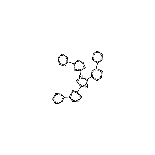 c1ccc(-c2cccc(-c3cn(-c4cccc(-c5ccccc5)c4)c(-c4cccc(-c5ccccc5)c4)n3)c2)cc1